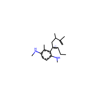 C=C(C)C(C)C/C(=C/CC)c1c(NC)ccc(NC)c1C